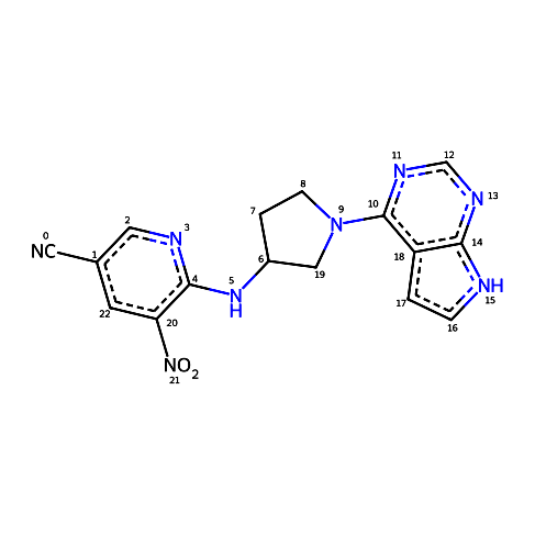 N#Cc1cnc(NC2CCN(c3ncnc4[nH]ccc34)C2)c([N+](=O)[O-])c1